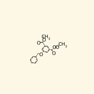 COOC(=O)c1cc(OCc2ccccc2)cc(C(=O)OC)c1